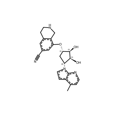 Cc1ccnc2c1ccn2[C@@H]1C[C@H](Oc2cc(C#N)cc3c2CNCC3)[C@@H](O)[C@H]1O